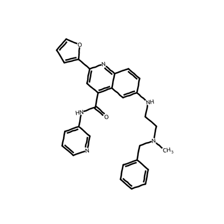 CN(CCNc1ccc2nc(-c3ccco3)cc(C(=O)Nc3cccnc3)c2c1)Cc1ccccc1